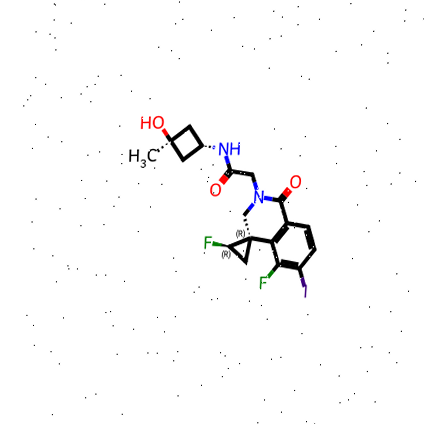 C[C@]1(O)C[C@H](NC(=O)CN2C[C@@]3(C[C@H]3F)c3c(ccc(I)c3F)C2=O)C1